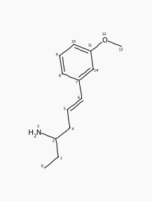 CCC(N)C/C=C/c1cccc(OC)c1